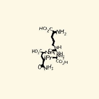 CC(C)C(N)C(=O)O.NC(=O)CCC(N)C(=O)O.NC(=O)NCCCC(N)C(=O)O